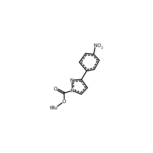 CC(C)(C)OC(=O)n1ccc(-c2ccc([N+](=O)[O-])cc2)n1